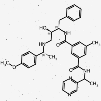 COc1ccc([C@@H](C)NC[C@@H](O)[C@H](Cc2ccccc2)NC(=O)c2cc(C)cc(C(=O)NC(C)c3cnccn3)c2)cc1